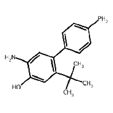 CC(C)(C)c1cc(O)c(N)cc1-c1ccc(P)cc1